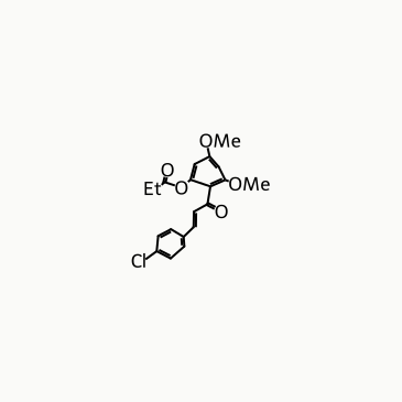 CCC(=O)Oc1cc(OC)cc(OC)c1C(=O)C=Cc1ccc(Cl)cc1